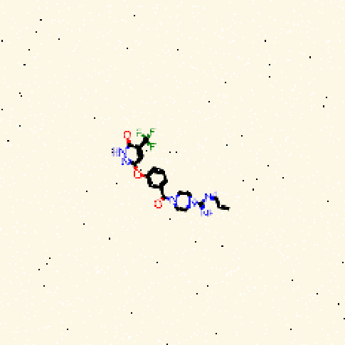 CC/C=N\C(=N)N1CCN(C(=O)c2cccc(Oc3cc(C(F)(F)F)c(=O)[nH]n3)c2)CC1